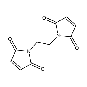 O=C1C=CC(=O)N1CCN1C(=O)C=CC1=O